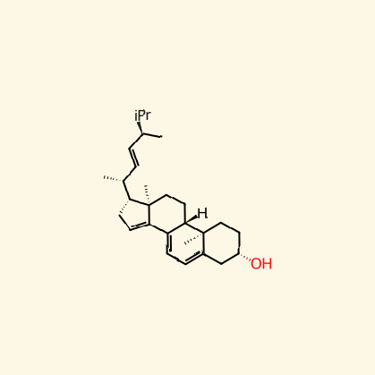 CC(C)[C@@H](C)C=C[C@@H](C)[C@H]1CC=C2C3=CC=C4C[C@@H](O)CC[C@]4(C)[C@H]3CC[C@@]21C